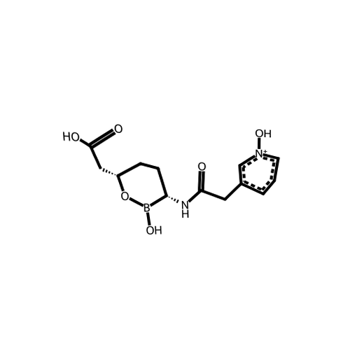 O=C(O)C[C@@H]1CC[C@H](NC(=O)Cc2ccc[n+](O)c2)B(O)O1